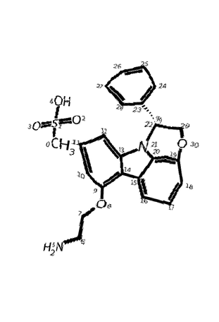 CS(=O)(=O)O.NCCOc1cccc2c1c1cccc3c1n2[C@H](c1ccccc1)CO3